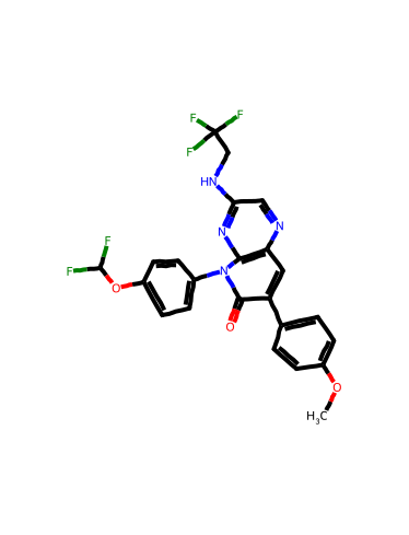 COc1ccc(-c2cc3ncc(NCC(F)(F)F)nc3n(-c3ccc(OC(F)F)cc3)c2=O)cc1